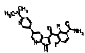 CN(C)c1ccc(-c2cnc3[nH]cc(C(=O)c4c(F)ccc(C(N)=O)c4F)c3c2)cn1